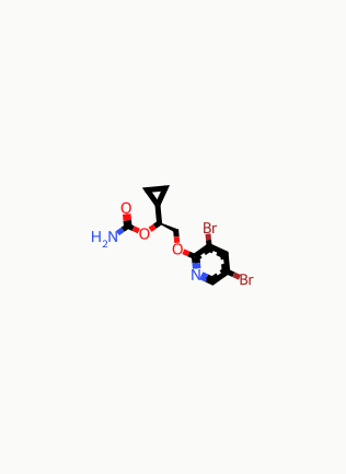 NC(=O)O[C@H](COc1ncc(Br)cc1Br)C1CC1